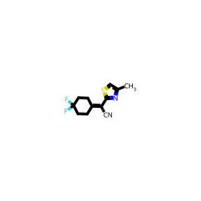 Cc1csc(C(C#N)=C2CCC(F)(F)CC2)n1